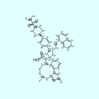 CN1CCCN2c3c(cccc3C(CCCOc3cccc4ccccc34)(COc3ccc(N4CCN(S(=O)(=O)N(C)C)CC4)cc3)C2C(=O)O)-c2cn(C)nc2C1